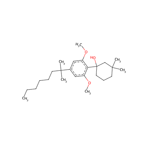 CCCCCCC(C)(C)c1cc(OC)c(C2(O)CCCC(C)(C)C2)c(OC)c1